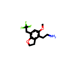 COc1cc(CC(F)(F)F)c2c(c1CCN)CCO2